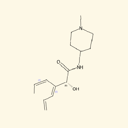 C=C/C=C(\C=C/C)[C@@H](O)C(=O)NC1CCN(C)CC1